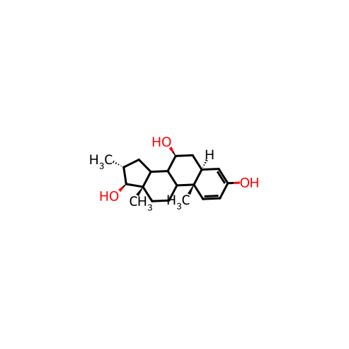 C[C@@H]1CC2C3C(CC[C@]2(C)[C@H]1O)[C@@]1(C)C=CC(O)=C[C@@H]1C[C@@H]3O